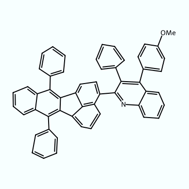 COc1ccc(-c2c(-c3ccccc3)c(-c3ccc4c5c(cccc35)-c3c-4c(-c4ccccc4)c4ccccc4c3-c3ccccc3)nc3ccccc23)cc1